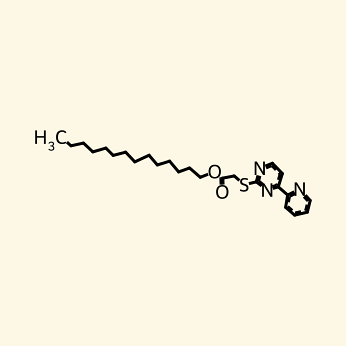 CCCCCCCCCCCCCCOC(=O)CSc1nccc(-c2ccccn2)n1